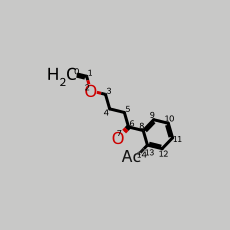 C=COCCCC(=O)c1ccccc1C(C)=O